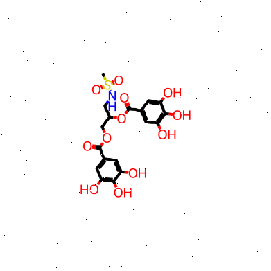 CS(=O)(=O)NCC(COC(=O)c1cc(O)c(O)c(O)c1)OC(=O)c1cc(O)c(O)c(O)c1